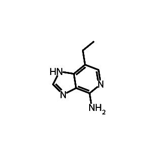 CCc1cnc(N)c2nc[nH]c12